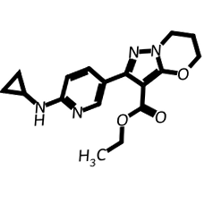 CCOC(=O)c1c(-c2ccc(NC3CC3)nc2)nn2c1OCCC2